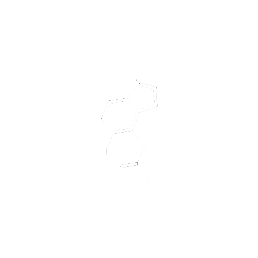 CC(=O)Oc1c(Cl)ccc2[nH]ccc12